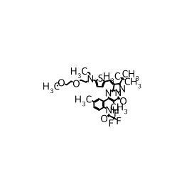 CCN(CCOCCOC)c1ccc(/C=c2/c(C(C)(C)C)nn3c(=O)c(C)c(-c4cc(C)ccc4NC(=O)C(F)(F)F)nc23)s1